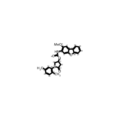 COc1cc2c(cc1NC(=O)OC1CC(=O)N(c3cc(C)ccc3C)C1)oc1ccccc12